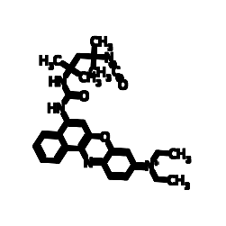 CC[N+](CC)=c1ccc2nc3c(cc(NC(=O)NC(C)(C)CC(C)(C)N=C=O)c4ccccc43)oc-2c1